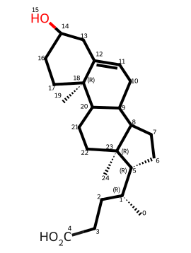 C[C@H](CCC(=O)O)[C@H]1CCC2C3CC=C4CC(O)CC[C@]4(C)C3CC[C@@]21C